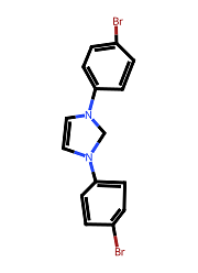 Brc1ccc(N2C=CN(c3ccc(Br)cc3)C2)cc1